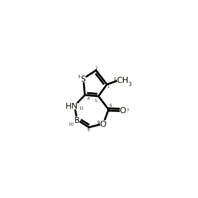 Cc1csc2c1C(=O)OC=BN2